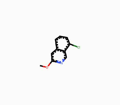 COc1cc2cccc(Cl)c2cn1